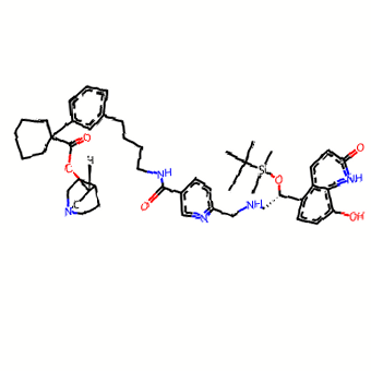 CC(C)(C)[Si](C)(C)O[C@@H](CNCc1ccc(C(=O)NCCCCc2cccc(C3(C(=O)O[C@H]4CN5CCC4CC5)CCCCC3)c2)cn1)c1ccc(O)c2[nH]c(=O)ccc12